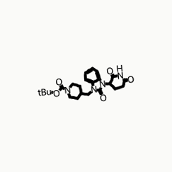 CC(C)(C)OC(=O)N1CCC(Cn2c(=O)n(C3CCC(=O)NC3=O)c3ccccc32)CC1